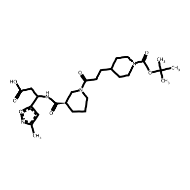 Cc1cc(C(CC(=O)O)NC(=O)[C@@H]2CCCN(C(=O)CCC3CCN(C(=O)OC(C)(C)C)CC3)C2)on1